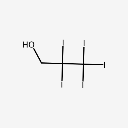 OCC(I)(I)C(I)(I)I